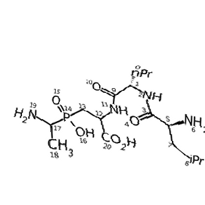 CCC[C@H](NC(=O)[C@@H](N)CC(C)C)C(=O)NC(CP(=O)(O)C(C)N)C(=O)O